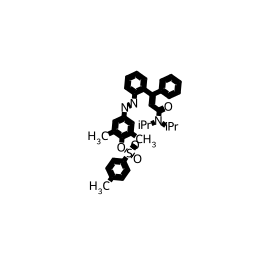 Cc1ccc(S(=O)(=O)Oc2c(C)cc(N=Nc3ccccc3C(=CC(=O)N(C(C)C)C(C)C)c3ccccc3)cc2C)cc1